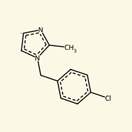 Cc1n[c]cn1Cc1ccc(Cl)cc1